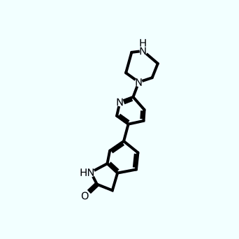 O=C1Cc2ccc(-c3ccc(N4CCNCC4)nc3)cc2N1